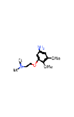 CCN(CC)CCOc1cc(N)cc(OC)c1OC